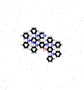 c1ccc(N(c2ccccc2)c2cc3c4c(c2)N(c2ccccc2)c2ccccc2N4c2cc4c(cc2O3)N(c2ccccc2)c2nc(N(c3ccccc3)c3ccccc3)cc3c2B4c2cnccc2N3c2ccccc2)cc1